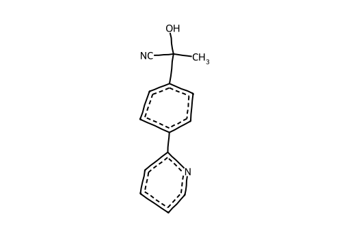 CC(O)(C#N)c1ccc(-c2ccccn2)cc1